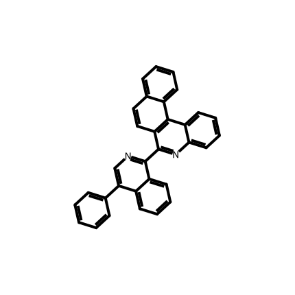 c1ccc(-c2cnc(-c3nc4ccccc4c4c3ccc3ccccc34)c3ccccc23)cc1